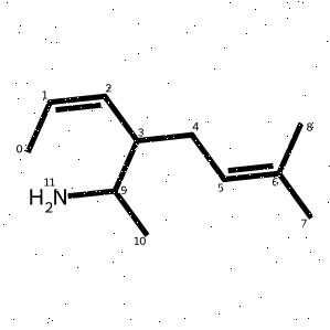 C/C=C\C(CC=C(C)C)C(C)N